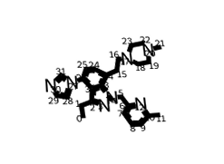 CCc1nn(Cc2cccc(C)n2)c2c(CCN3CCN(C)CC3)ccc(-n3ccnc3)c12